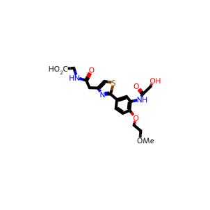 COCCOc1ccc(-c2nc(CC(=O)NCC(=O)O)cs2)cc1NC(=O)CO